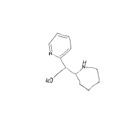 CC(=O)OC(c1ccccn1)C1CCCCN1